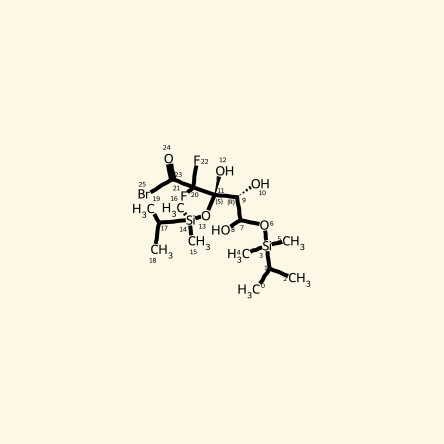 CC(C)[Si](C)(C)OC(O)[C@@H](O)[C@](O)(O[Si](C)(C)C(C)C)C(F)(F)C(=O)Br